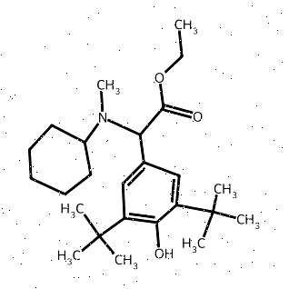 CCOC(=O)C(c1cc(C(C)(C)C)c(O)c(C(C)(C)C)c1)N(C)C1CCCCC1